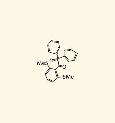 CSc1cccc(SC)c1C(=O)P(=O)(c1ccccc1)c1ccccc1